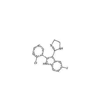 Fc1ccc2[nH]c(-c3ccccc3Cl)c(C3=NCCN3)c2c1